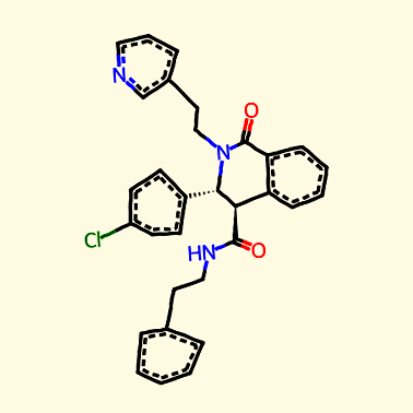 O=C(NCCc1ccccc1)[C@@H]1c2ccccc2C(=O)N(CCc2cccnc2)[C@H]1c1ccc(Cl)cc1